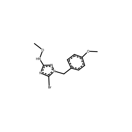 CONc1nc(Br)n(Cc2ccc(OC)cc2)n1